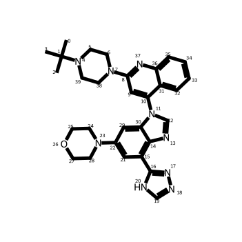 CC(C)(C)N1CCN(c2cc(-n3cnc4c(-c5nnc[nH]5)cc(N5CCOCC5)cc43)c3ccccc3n2)CC1